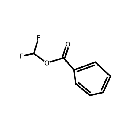 O=C(OC(F)F)c1ccccc1